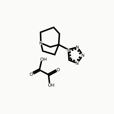 O=C(O)C(=O)O.c1nnnn1C12CCCN(CC1)C2